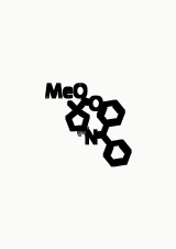 COC(=O)C1(C)CC[C@@H](N=C(c2ccccc2)c2ccccc2)C1